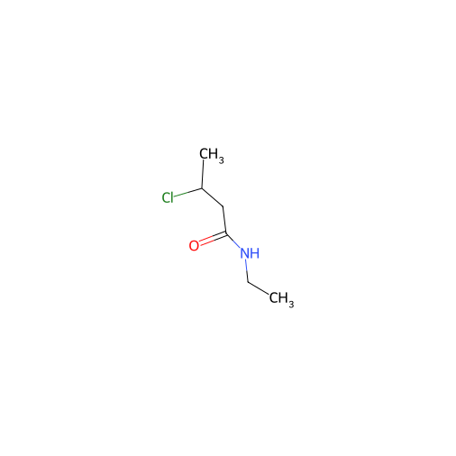 CCNC(=O)CC(C)Cl